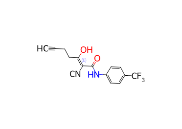 [C-]#[N+]/C(C(=O)Nc1ccc(C(F)(F)F)cc1)=C(/O)CCC#C